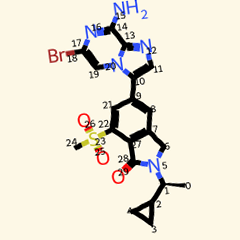 C[C@@H](C1CC1)N1Cc2cc(-c3cnc4c(N)nc(Br)cn34)cc(S(C)(=O)=O)c2C1=O